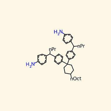 CCCCCCCCC1CCC(c2ccc(C(CCC)c3ccc(N)cc3)cc2)(c2ccc(C(CCC)c3ccc(N)cc3)cc2)CC1